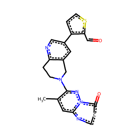 Cc1cc2nccc(=O)n2nc1N1CCc2ncc(-c3ccsc3C=O)cc2C1